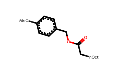 CCCCCCCCCC(=O)OCc1ccc(OC)cc1